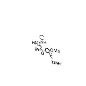 COCCCOc1cc(C(=O)N(C[C@H]2CNC[C@@H]2NC2CCCCC2)C(C)C)ccc1OC